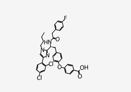 CCCCn1cc(-c2ccc(Cl)cc2Cl)nc1[C@H](Cc1ccc(Oc2ccc(C(=O)O)cc2)cc1)NC(=O)Cc1ccc(F)cc1